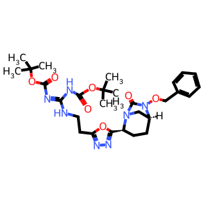 CC(C)(C)OC(=O)/N=C(/NCCc1nnc([C@@H]2CC[C@H]3CN2C(=O)N3OCc2ccccc2)o1)NC(=O)OC(C)(C)C